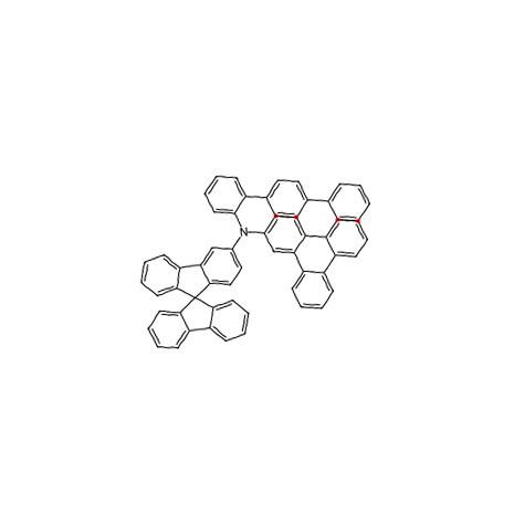 c1ccc(-c2ccc(-c3ccccc3N(c3ccc4c(c3)-c3ccccc3C43c4ccccc4-c4ccccc43)c3ccc4c5ccccc5c5ccccc5c4c3)cc2)cc1